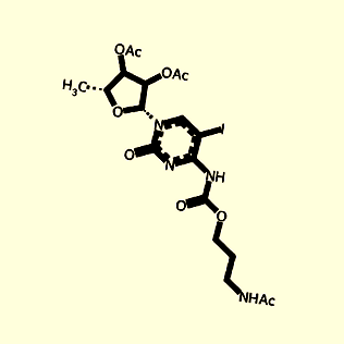 CC(=O)NCCCOC(=O)Nc1nc(=O)n([C@@H]2O[C@H](C)C(OC(C)=O)C2OC(C)=O)cc1I